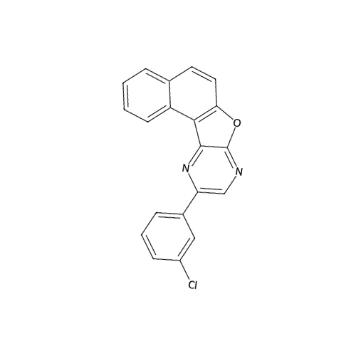 Clc1cccc(-c2cnc3oc4ccc5ccccc5c4c3n2)c1